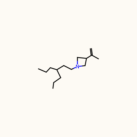 C=C(C)C1CN(CCC(CCC)CCC)C1